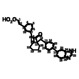 O=C(O)/C=C/c1cccc(NC(=O)C2(Cc3ccc(-c4ccc5nc[nH]c5c4)cc3)CCCCC2)c1